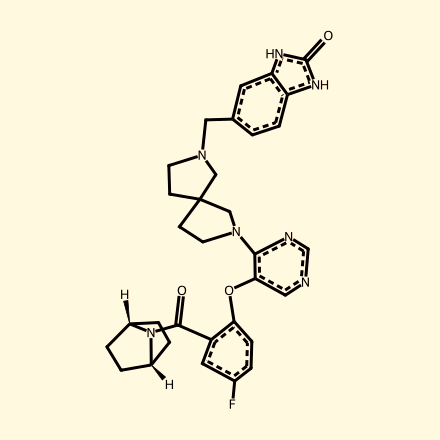 O=C(c1cc(F)ccc1Oc1cncnc1N1CCC2(CCN(Cc3ccc4[nH]c(=O)[nH]c4c3)C2)C1)N1[C@H]2CC[C@@H]1CC2